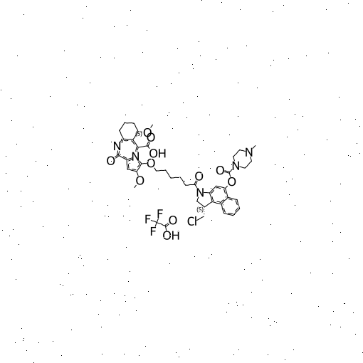 COc1cc2c(=O)nc3c(c(C(=O)O)n2c1OCCCCCC(=O)N1C[C@@H](CCl)c2c1cc(OC(=O)N1CCN(C)CC1)c1ccccc21)[C@@H](OC)CCC3.O=C(O)C(F)(F)F